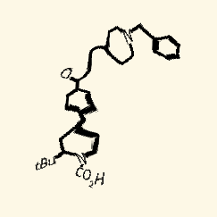 CC(C)(C)C1CC(c2ccc(C(=O)C=CC3CCN(Cc4ccccc4)CC3)cc2)=CCN1C(=O)O